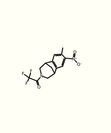 Cc1cc2c(cc1[N+](=O)[O-])C1CC2CN(C(=O)C(F)(F)F)C1